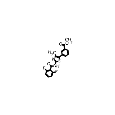 COC(=O)c1cccc(-c2sc(NC(=O)c3c(F)cccc3F)nc2C)c1